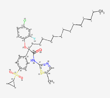 CCCCCCCCCCCCCCC(Oc1ccc(Cl)cc1F)(C(=O)Nc1ncc(C)s1)c1ccc(S(=O)(=O)C2CC2)cc1